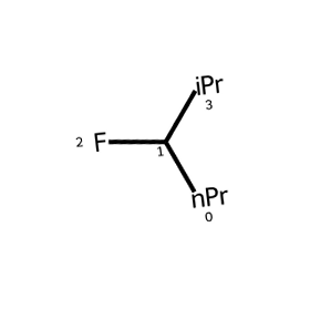 CCCC(F)C(C)C